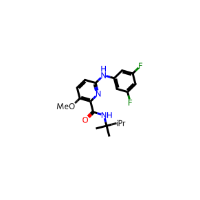 COc1ccc(Nc2cc(F)cc(F)c2)nc1C(=O)NC(C)(C)C(C)C